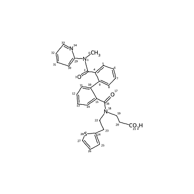 CN(C(=O)c1ccccc1-c1ccccc1C(=O)N(CCC(=O)O)CCc1cccs1)c1ccccn1